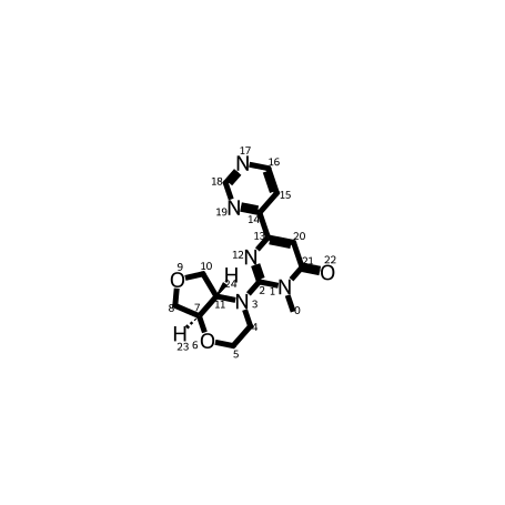 Cn1c(N2CCO[C@H]3COC[C@@H]32)nc(-c2ccncn2)cc1=O